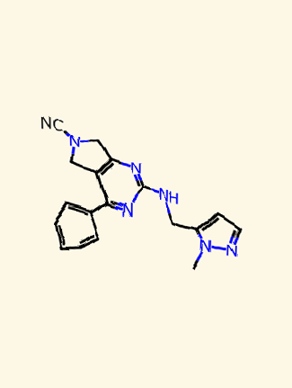 Cn1nccc1CNc1nc2c(c(-c3ccccc3)n1)CN(C#N)C2